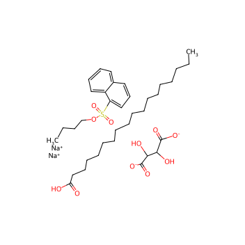 CCCCCCCCCCCCCCCCCC(=O)O.CCCCOS(=O)(=O)c1cccc2ccccc12.O=C([O-])C(O)C(O)C(=O)[O-].[Na+].[Na+]